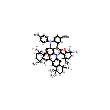 Cc1cc2c3c(c1)N(c1cc4c(cc1-c1ccc5c(c1)C(C)(C)CCC5(C)C)C(C)(C)CCC4(C)C)c1c(oc4c1C(C)(C)CCC4(C)C)B3c1cc(C(C)(C)C)ccc1N2c1ccc(C(C)(C)C)cc1